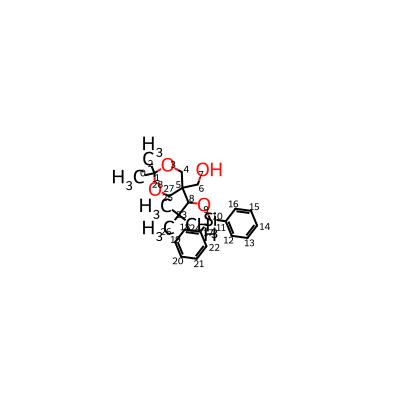 CC1(C)OCC(CO)(C(O[SiH](c2ccccc2)c2ccccc2)C(C)(C)C)CO1